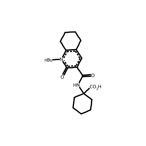 CCCCn1c2c(cc(C(=O)NC3(C(=O)O)CCCCC3)c1=O)CCCC2